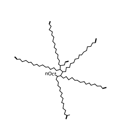 C=CCCCCCCCCCCCCCCC(CC=C)C(CCCCCCCCCCCCCCC=C)C(CCCCCCCCCCCCCCC=C)C(CCCCCCCCCCCCCCC=C)C(CCCCCCCC)CCCCCCCCCCCCCC(=C)C